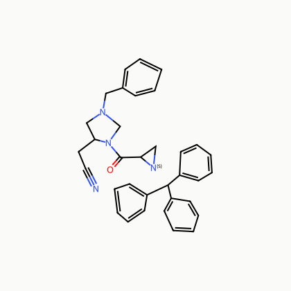 N#CCC1CN(Cc2ccccc2)CN1C(=O)C1C[N@@]1C(c1ccccc1)(c1ccccc1)c1ccccc1